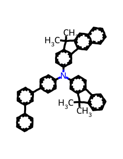 CC1(C)c2ccccc2-c2ccc(N(c3ccc(-c4cccc(-c5ccccc5)c4)cc3)c3ccc4c(c3)-c3cc5ccccc5cc3C4(C)C)cc21